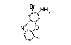 Cc1ccccc1Oc1cc(N)c(Br)cc1C#N